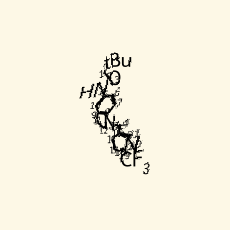 CC(C)(C)CC(=O)Nc1ccc2c(c1)CCN2Cc1ccc(C(F)(F)F)nc1